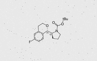 CC(C)(C)OC(=O)N1CCC[C@H]1[C@H]1OCCc2cc(F)ccc21